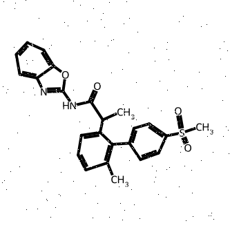 Cc1cccc(C(C)C(=O)Nc2nc3ccccc3o2)c1-c1ccc(S(C)(=O)=O)cc1